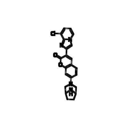 O=c1oc2cc(N3CC4CCC(C3)N4)ccc2cc1-c1cn2cccc(Cl)c2n1